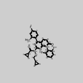 Cc1cc(F)ccc1-c1nc(N(OCC2CC2)C(=O)C2CC2)nc2c1ccc(=O)n2-c1c(F)cccc1F